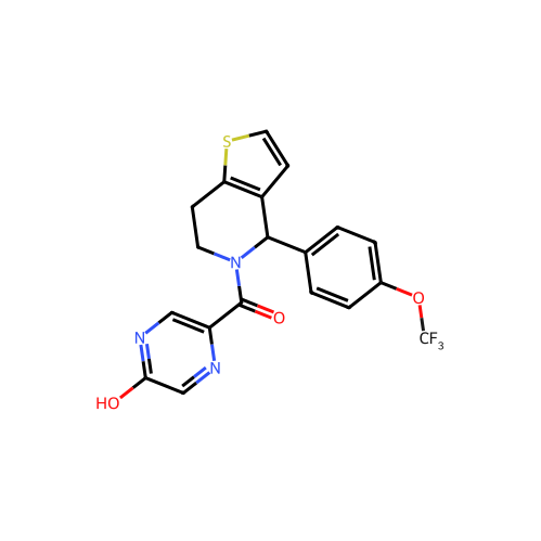 O=C(c1cnc(O)cn1)N1CCc2sccc2C1c1ccc(OC(F)(F)F)cc1